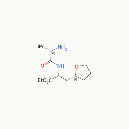 CCOC(=O)C(C[C@H]1CCCO1)NC(=O)[C@@H](N)C(C)C